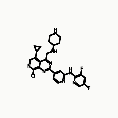 Fc1cnc(Nc2cc(-c3nc(CNC4CCNCC4)c4c(C5CC5)cnc(Cl)c4n3)ccn2)c(F)c1